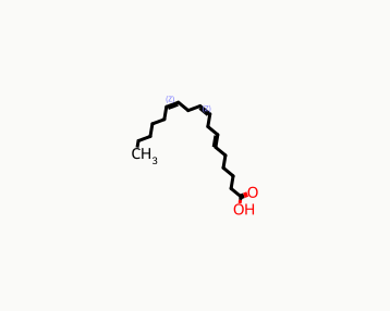 CCCCC/C=C\C/C=C\CC=CCCCCC(=O)O